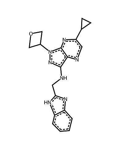 c1ccc2[nH]c(CNc3nn(C4COC4)c4nc(C5CC5)cnc34)nc2c1